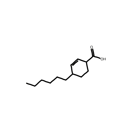 CCCCCCC1C=CC(C(=O)O)CC1